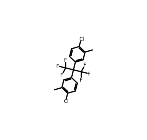 Cc1cc(C(c2ccc(Cl)c(C)c2)(C(F)(F)F)C(F)(F)F)ccc1Cl